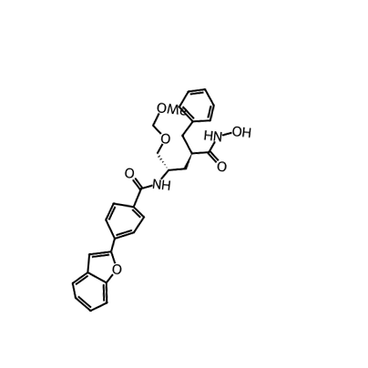 COCOC[C@H](C[C@@H](Cc1ccccc1)C(=O)NO)NC(=O)c1ccc(-c2cc3ccccc3o2)cc1